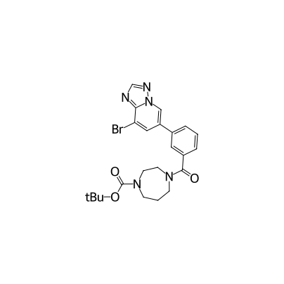 CC(C)(C)OC(=O)N1CCCN(C(=O)c2cccc(-c3cc(Br)c4ncnn4c3)c2)CC1